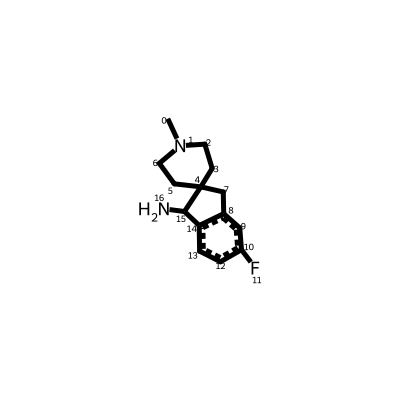 CN1CCC2(CC1)Cc1cc(F)ccc1C2N